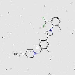 Cc1cc(C2CN(c3c(C)cccc3C(F)F)C2)cc(C)c1CN1CCC(C(=O)O)CC1